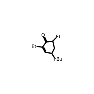 CCCCC1C=C(CC)C(=O)C(CC)C1